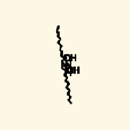 CCCCCCCCCCC(O)CN(CC(O)CCCCCCCCCC)NC